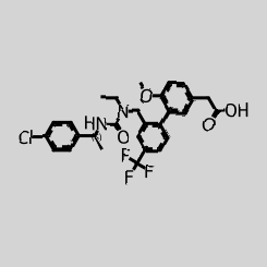 CCN(Cc1cc(C(F)(F)F)ccc1-c1cc(CC(=O)O)ccc1OC)C(=O)N[C@@H](C)c1ccc(Cl)cc1